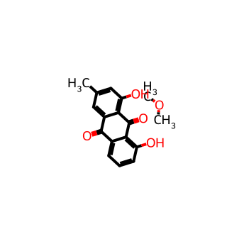 COC.Cc1cc(O)c2c(c1)C(=O)c1cccc(O)c1C2=O